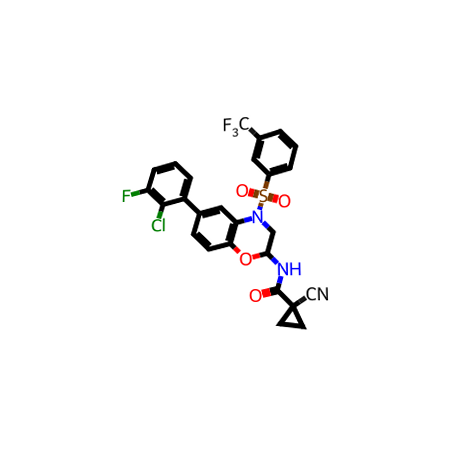 N#CC1(C(=O)NC2CN(S(=O)(=O)c3cccc(C(F)(F)F)c3)c3cc(-c4cccc(F)c4Cl)ccc3O2)CC1